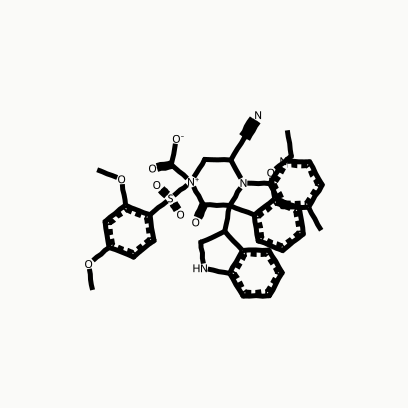 CCOc1ccccc1C1(C2CNc3ccccc32)C(=O)[N+](C(=O)[O-])(S(=O)(=O)c2ccc(OC)cc2OC)CC(C#N)N1c1cc(C)ccn1